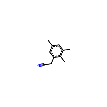 Cc1cc(C)c(C)c(CC#N)c1